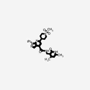 Cc1cc(C)c(CNC2OC2c2cc(C3CCN(S(C)(=O)=O)CC3)nc3c2cnn3C(C)C)c(=O)[nH]1